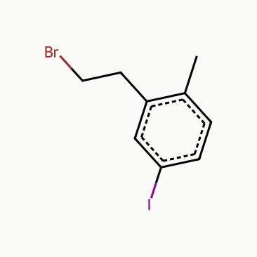 Cc1ccc(I)cc1CCBr